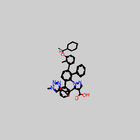 Cc1c(O[C@@H](C)C2CCCCC2)cccc1-c1ccc(-c2ccccc2)c(-n2ncc(C(=O)O)c2C2CC2c2cn(C)nn2)c1-c1ccccc1